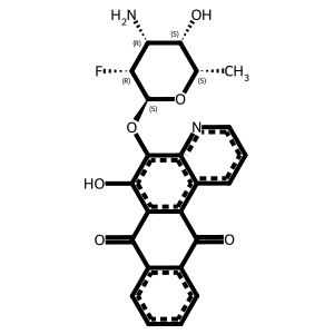 C[C@@H]1O[C@@H](Oc2c(O)c3c(c4cccnc24)C(=O)c2ccccc2C3=O)[C@H](F)[C@H](N)[C@@H]1O